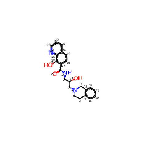 O=C(NCC(O)CN1CCc2ccccc2C1)c1ccc2cccnc2c1O